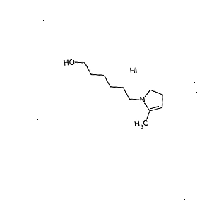 CC1=CCCN1CCCCCCO.I